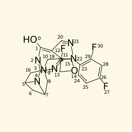 Oc1nc(N2C3CC2CN(CC2(F)COC2)C3)nc2c1cnn2-c1ccc(F)cc1F